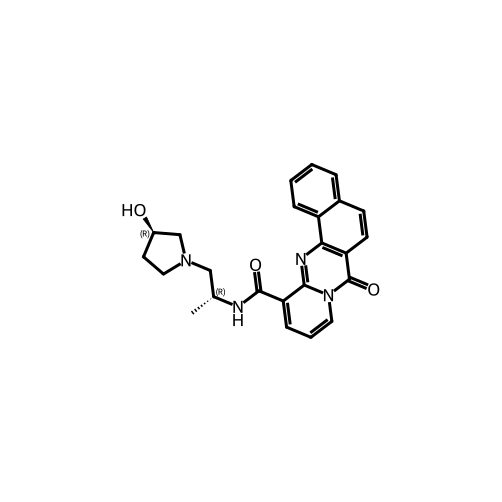 C[C@H](CN1CC[C@@H](O)C1)NC(=O)c1cccn2c(=O)c3ccc4ccccc4c3nc12